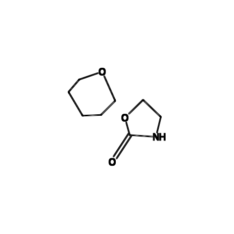 C1CCOCC1.O=C1NCCO1